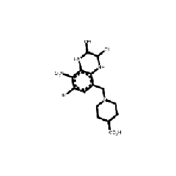 O=C(O)C1CCN(Cc2cc(Br)c([N+](=O)[O-])c3c2NC(O)C(O)N3)CC1